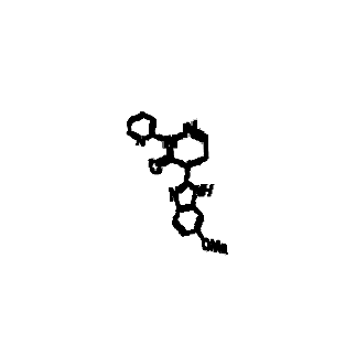 COc1ccc2nc(-c3ccnn(-c4ccccn4)c3=O)[nH]c2c1